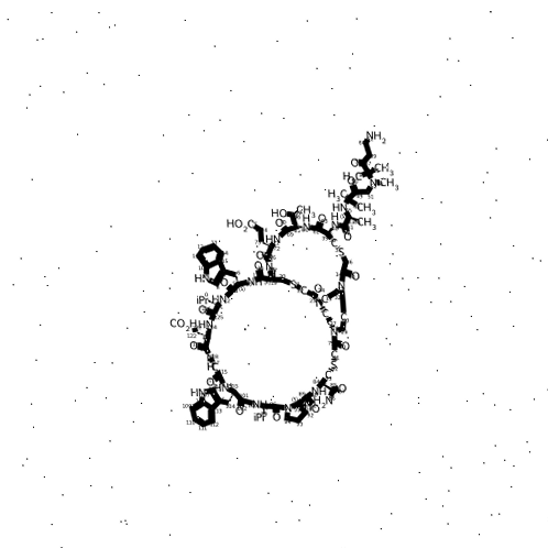 CC(C)[C@@H]1NC(=O)[C@H](Cc2c[nH]c3ccccc23)NC(=O)[C@@H]2CSCC(=O)N3CCN(CCN(CC3)C(=O)CSC[C@H](NC(=O)[C@H](C)NC(C)(C)C(=O)CN(C)C(C)(C)C(=O)CCN)C(=O)N[C@@H]([C@@H](C)O)C(=O)N[C@@H](CCC(=O)O)C(=O)N2)C(=O)CSC[C@@H](C(N)=O)NC(=O)[C@@H]2CCCN2C(=O)[C@H](C(C)C)NC(=O)[C@H](Cc2c[nH]c3ccccc23)NC(=O)CNC(=O)[C@H](CC(=O)O)NC1=O